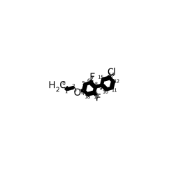 C=CCOc1cc(F)c(-c2cc[c]c(Cl)c2)c(F)c1